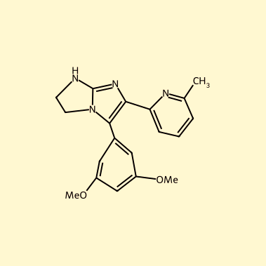 COc1cc(OC)cc(-c2c(-c3cccc(C)n3)nc3n2CCN3)c1